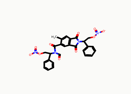 Cc1cc2c(cc1C(=O)N(C=O)C(CO[N+](=O)[O-])c1ccccc1)C(=O)N(C(CO[N+](=O)[O-])c1ccccc1)C2=O